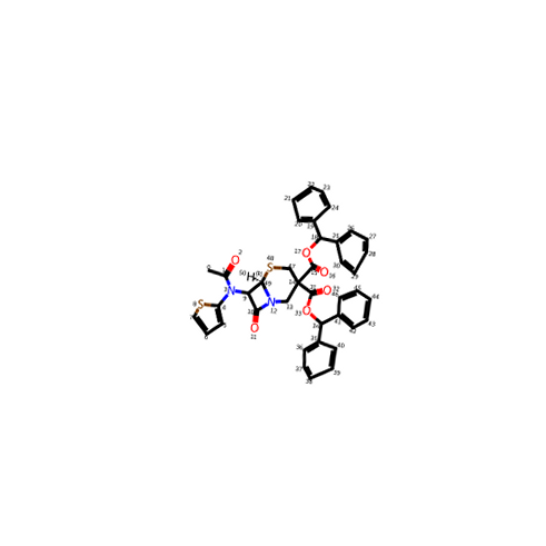 CC(=O)N(c1cccs1)C1C(=O)N2CC(C(=O)OC(c3ccccc3)c3ccccc3)(C(=O)OC(c3ccccc3)c3ccccc3)CS[C@H]12